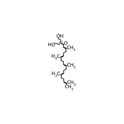 CC(C)=CCCC(C)=CCCC(C)=CCCC(C)=CCCC(C)=CC(=O)N(CCO)CCO